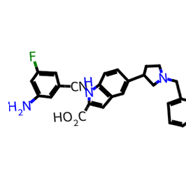 N#Cc1cc(N)cc(F)c1.O=C(O)c1cc2cc(C3CCN(Cc4ccccc4)C3)ccc2[nH]1